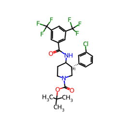 CC(C)(C)OC(=O)N1CCC(NC(=O)c2cc(C(F)(F)F)cc(C(F)(F)F)c2)[C@H](c2cccc(Cl)c2)C1